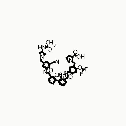 CC(=O)NC1CN(Cc2cc(C#N)c3oc(-c4cccc(-c5cccc(-c6nc7cc(CN8CCC[C@H]8C(=O)O)c(OC(F)F)cc7o6)c5C)c4C)nc3c2)C1